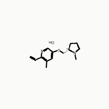 C=Cc1ncc(OC[C@@H]2CCCN2C)cc1C.Cl